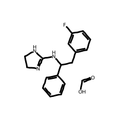 Fc1cccc(CC(NC2=NCCN2)c2ccccc2)c1.O=CO